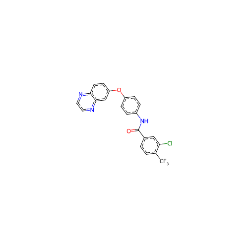 O=C(Nc1ccc(Oc2ccc3nccnc3c2)cc1)c1ccc(C(F)(F)F)c(Cl)c1